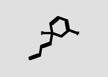 O=CC=CC1(F)C=CC=C(F)C1